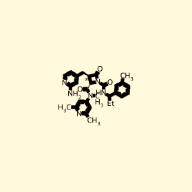 CCC(NC(=O)N1C(=O)[C@H](Cc2ccnc(N)c2)[C@H]1C(=O)N(C)c1cc(C)nc(C)c1)c1cccc(C)c1